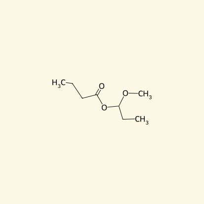 CCCC(=O)OC(CC)OC